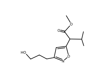 COC(=O)C(c1cc(CCCO)no1)C(C)C